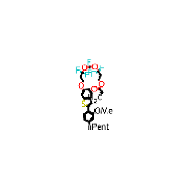 C=CC(=O)OCCC(F)(F)OC(F)(F)OC(F)(F)CCOc1ccc2cc(-c3ccc(CCCCC)cc3OC)sc2c1